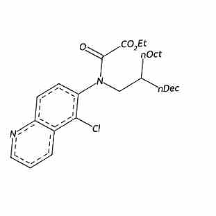 CCCCCCCCCCC(CCCCCCCC)CN(C(=O)C(=O)OCC)c1ccc2ncccc2c1Cl